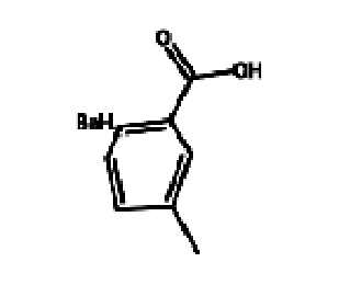 Cc1cccc(C(=O)O)c1.[BaH2]